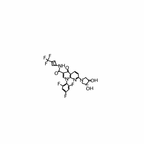 O=C(NC12CC(C(F)(F)F)(C1)C2)c1cn(-c2c(F)cc(F)cc2F)c2nc(N3C[C@@H](O)[C@H](O)C3)ccc2c1=O